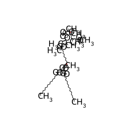 CCCCCCCCCCCCCCCC(=O)OCC(COC(=O)CCCCCCCCCCCCCCC)OC(=O)CC(C)CCCCCCCC(C)C(=O)Oc1c(C)cc(COc2c(CC=C(C)CCC(=O)OC)c(OC)c(C)c3c2C(=O)OC3)cc1C